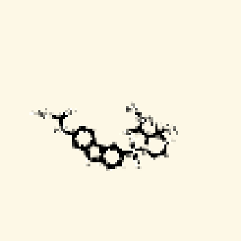 CCCCCCCC(=O)Nc1ccc2c(c1)oc1ccc(S(=O)(=O)N3CCSC(C)(C)C3C(=O)NO)cc12